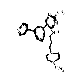 CN1CCN(CCCNc2nc(N)ncc2-c2cccc(-c3ccncc3)c2)CC1